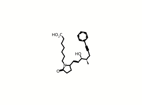 C[C@H](CC#Cc1ccccc1)[C@H](O)C=CC1CCC(=O)N1CCCCCCC(=O)O